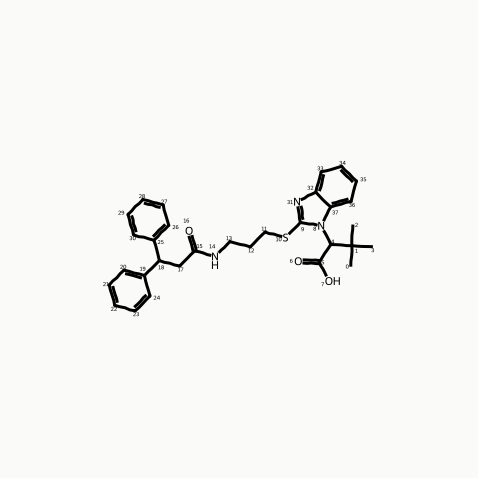 CC(C)(C)C(C(=O)O)n1c(SCCCNC(=O)CC(c2ccccc2)c2ccccc2)nc2ccccc21